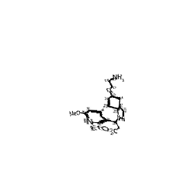 CCOC(=O)CC(c1ccc(OC)nc1)n1ncc2cc(OCCN)ccc21